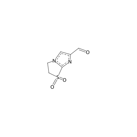 O=Cc1cn2c(n1)S(=O)(=O)CC2